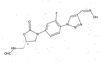 O=CNC[C@H]1CN(c2ccc(-n3cc(/C=N\O)nn3)c(F)c2)C(=O)O1